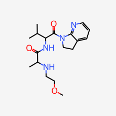 COCCNC(C)C(=O)NC(C(=O)N1CCc2cccnc21)C(C)C